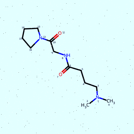 CN(C)CCCC(=O)NCC(=O)N1CCCC1